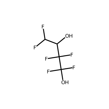 OC(C(F)F)C(F)(F)C(O)(F)F